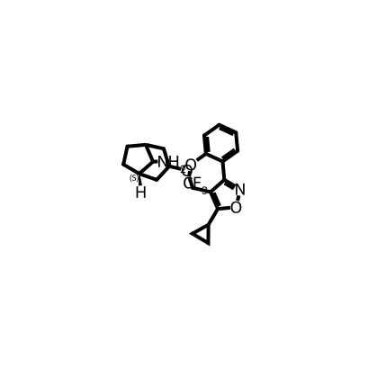 NC1C2CC[C@H]1CC(OCc1c(-c3ccccc3OC(F)(F)F)noc1C1CC1)C2